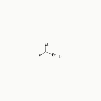 CCC(F)CC.[Li]